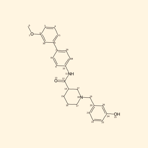 COc1cccc(-c2ccc(NC(=O)C3CCCN(Cc4cccc(O)c4)C3)cc2)c1